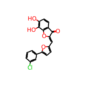 O=C1C(=Cc2ccc(-c3cccc(Cl)c3)o2)Oc2c1ccc(O)c2O